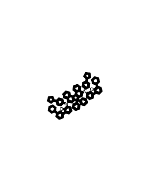 c1ccc(C2(c3ccccc3)c3cc(N(c4ccc(C5CCCC5)cc4)c4cccc5c4oc4c(C6CCCCC6)cccc45)c4ccccc4c3-c3c2cc(N(c2ccc(C4CCCC4)cc2)c2cccc4c2oc2c(C5CCCCC5)cccc24)c2ccccc32)cc1